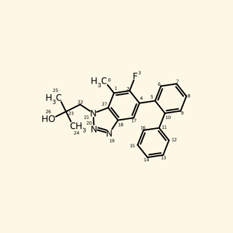 Cc1c(F)c(-c2ccccc2-c2ccccc2)cc2nnn(CC(C)(C)O)c12